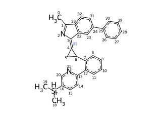 CC1=N/C(=C2\CC2c2ccccc2-c2ccc([SiH](C)C)cn2)c2cc(-c3ccccc3)ccc21